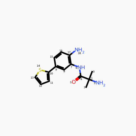 CC(C)(N)C(=O)Nc1cc(-c2cccs2)ccc1N